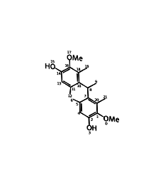 COc1c(O)cc(C)c(C(C)c2c(C)cc(O)c(OC)c2C)c1C